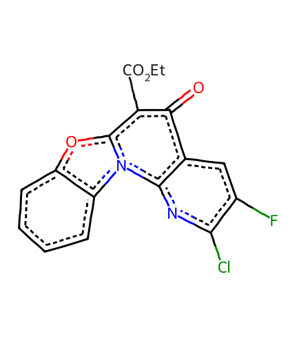 CCOC(=O)c1c(=O)c2cc(F)c(Cl)nc2n2c1oc1ccccc12